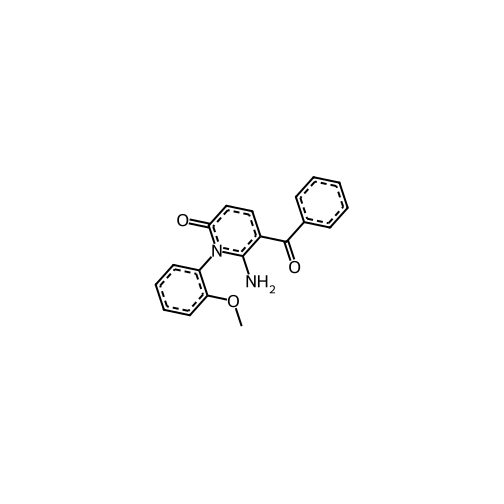 COc1ccccc1-n1c(N)c(C(=O)c2ccccc2)ccc1=O